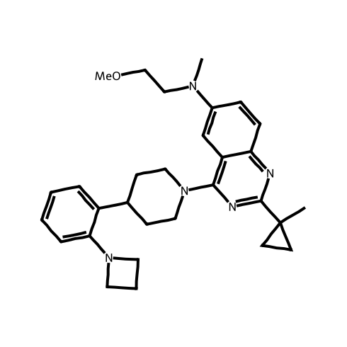 COCCN(C)c1ccc2nc(C3(C)CC3)nc(N3CCC(c4ccccc4N4CCC4)CC3)c2c1